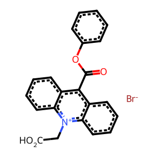 O=C(O)C[n+]1c2ccccc2c(C(=O)Oc2ccccc2)c2ccccc21.[Br-]